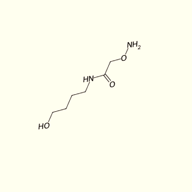 NOCC(=O)NCCCCO